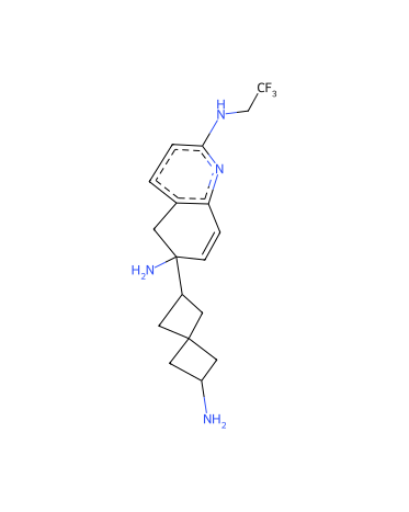 NC1CC2(C1)CC(C1(N)C=Cc3nc(NCC(F)(F)F)ccc3C1)C2